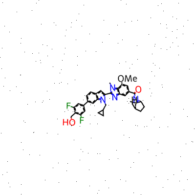 COc1cc(C(=O)N2CC3CCC2[C@@H]3C)cc2nc(-c3cc4ccc(-c5cc(F)c(CO)c(F)c5)cc4n3CC3CC3)n(C)c12